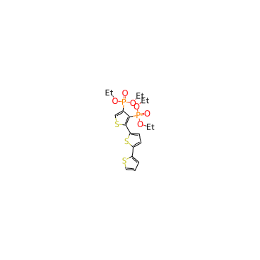 CCOP(=O)(OCC)c1csc(-c2ccc(-c3cccs3)s2)c1P(=O)(OCC)OCC